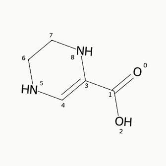 O=C(O)C1=CNCCN1